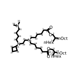 CCCCCCCCC(CCCCCC)COC(=O)CCCCCN(CCCCCC(=O)OCC(CCCCCC)CCCCCCCC)CCN(CCCCN(C)C)C1CCC1